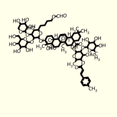 CC(=O)OC1C(OC(=O)/C=C/c2ccc(C)cc2)C(C)OC(OC(=O)[C@]23CCC(C)(C)C[C@H]2C2C=C[C@@H]4[C@@]5(C)CC[C@H](OC6OC(CCCCOC=O)C(O)C(OC7OCC(O)C(O)C7O)C6OC6OC(CO)C(O)C(O)C6O)[C@@](C)(C=O)[C@@H]5CC[C@@]4(C)[C@]2(C)C[C@H]3O)C1OC1OC(C)C(O)C(O)C1O